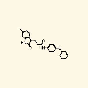 Cc1ccc2c(c1)[nH]c(=O)n2CCC(=O)Nc1ccc(Oc2ccccc2)cc1